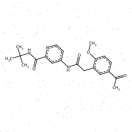 COc1ccc(C(C)=O)cc1CC(=O)Nc1ccnc(C(=O)NC(C)(C)C)c1